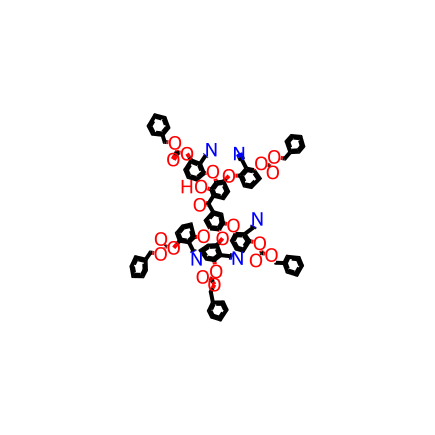 N#Cc1c(OC(=O)OCc2ccccc2)cccc1Oc1cc(C(=O)c2ccc(Oc3cccc(OC(=O)OCc4ccccc4)c3C#N)c(Oc3cccc(OC(=O)OCc4ccccc4)c3C#N)c2O)cc(Oc2cccc(OC(=O)OCc3ccccc3)c2C#N)c1Oc1cccc(OC(=O)OCc2ccccc2)c1C#N